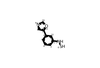 SNc1cccc(-c2cnco2)c1